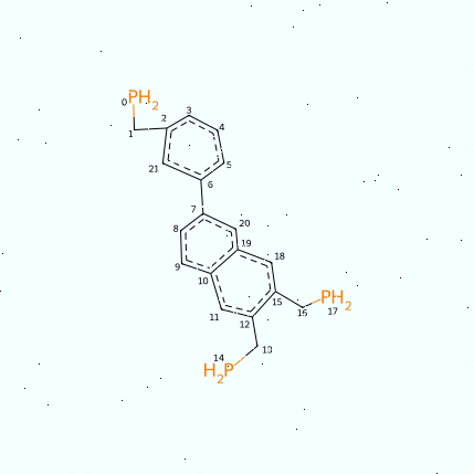 PCc1cccc(-c2ccc3cc(CP)c(CP)cc3c2)c1